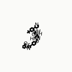 CC(C)(C)c1ccc(-c2cccnc2)c(NC(=O)NC2=CNC(Oc3ccc(-c4cnc(N5CCCC5=O)s4)cc3)N=C2)c1